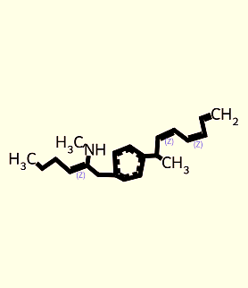 C=C/C=C\C=C/C(C)c1ccc(C/C(=C/CCC)NC)cc1